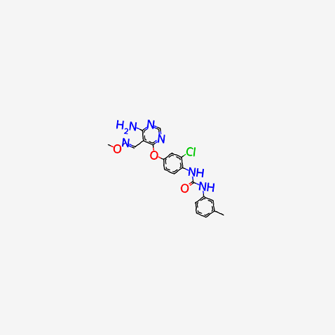 CON=Cc1c(N)ncnc1Oc1ccc(NC(=O)Nc2cccc(C)c2)c(Cl)c1